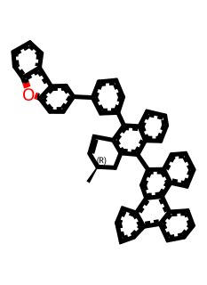 C[C@H]1C=Cc2c(c(-c3cc4c5ccccc5c5ccccc5c4c4ccccc34)c3ccccc3c2-c2cccc(-c3ccc4oc5ccccc5c4c3)c2)C1